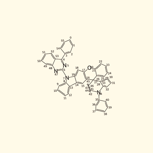 c1ccc(-c2nc(-n3c4ccccc4c4cc5c(cc43)Oc3ccccc3C53c4ccccc4N(c4ccccc4)c4ccccc43)nc3ccccc23)cc1